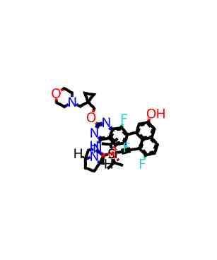 COc1c(F)c(-c2cc(O)cc3ccc(F)c(C#C[Si](C(C)C)(C(C)C)C(C)C)c23)c(F)c2nc(OCC3(CN4CCOCC4)CC3)nc(N3C[C@H]4CC[C@@H](C3)N4)c12